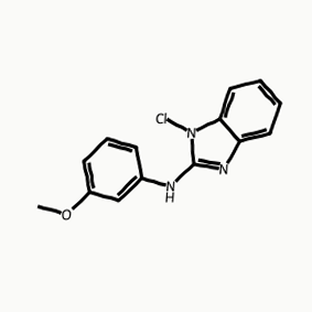 COc1cccc(Nc2nc3ccccc3n2Cl)c1